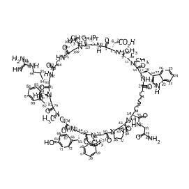 CC(C)[C@@H]1NC(=O)[C@H](CC(=O)O)NC(=O)[C@H](C)N(C)C(=O)[C@@H](Cc2c[nH]c3ccccc23)NC(=O)CSC[C@@H](C(=O)NCC(N)=O)NC(=O)[C@@H]2CCCN2C(=O)[C@H](Cc2ccccc2)N(C)C(=O)[C@H](Cc2ccc(O)cc2)NC(=O)CN(C)C(=O)[C@H](Cc2ccccc2)N(C)C(=O)[C@H](CCCNC(=N)N)NC(=O)CNC(=O)[C@H](CO)N(C)C1=O